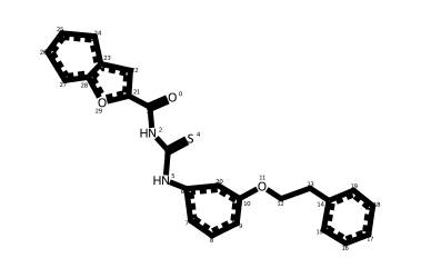 O=C(NC(=S)Nc1cccc(OCCc2ccccc2)c1)c1cc2ccccc2o1